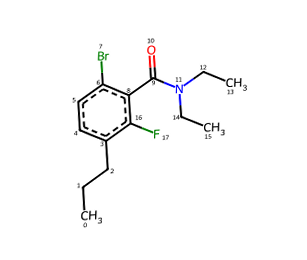 CCCc1ccc(Br)c(C(=O)N(CC)CC)c1F